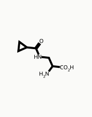 NC(CNC(=O)C1CC1)C(=O)O